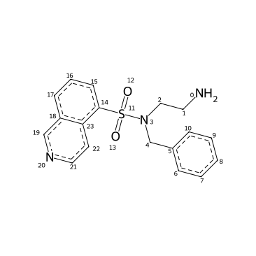 NCCN(Cc1ccccc1)S(=O)(=O)c1cccc2cnccc12